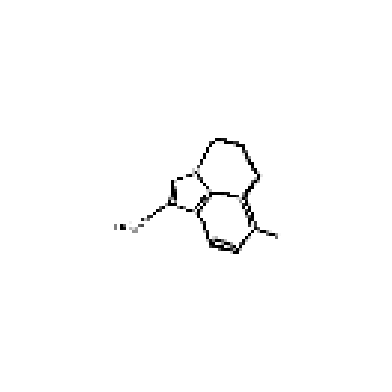 O=C(O)c1cn2c3c(c(F)ccc13)CCC2